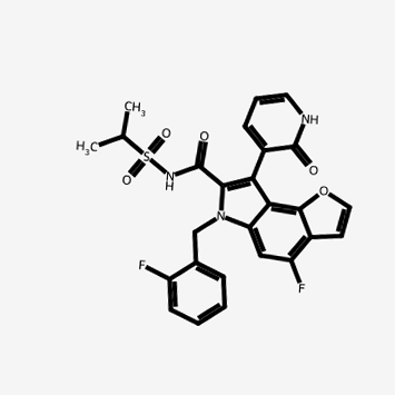 CC(C)S(=O)(=O)NC(=O)c1c(-c2ccc[nH]c2=O)c2c3occc3c(F)cc2n1Cc1ccccc1F